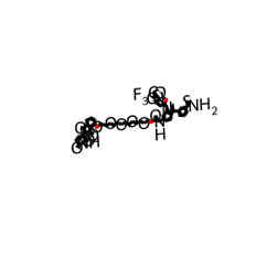 NC(=S)c1cccc(-c2cn(C3CCN(S(=O)(=O)C(F)(F)F)CC3)c3cc(NC(=O)CCOCCOCCOCCOCCOc4cccc5c4C(=O)N(C4CCC(=O)NC4=O)C5=O)ccc23)c1